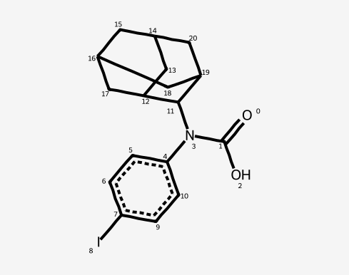 O=C(O)N(c1ccc(I)cc1)C1C2CC3CC(C2)CC1C3